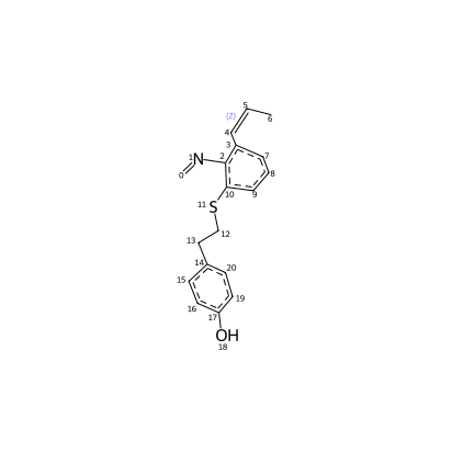 C=Nc1c(/C=C\C)cccc1SCCc1ccc(O)cc1